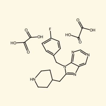 Fc1ccc(Cn2c(CC3CCNCC3)nc3cncnc32)cc1.O=C(O)C(=O)O.O=C(O)C(=O)O